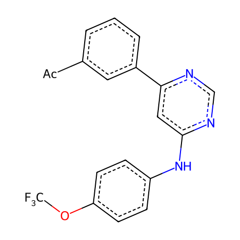 CC(=O)c1cccc(-c2cc(Nc3ccc(OC(F)(F)F)cc3)ncn2)c1